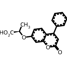 C[C@@H](Oc1ccc2c(-c3ccccc3)cc(=O)oc2c1)C(=O)O